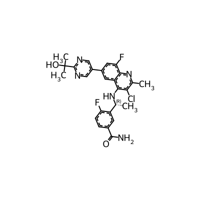 Cc1nc2c(F)cc(-c3cnc(C(C)(C)O)nc3)cc2c(N[C@H](C)c2cc(C(N)=O)ccc2F)c1Cl